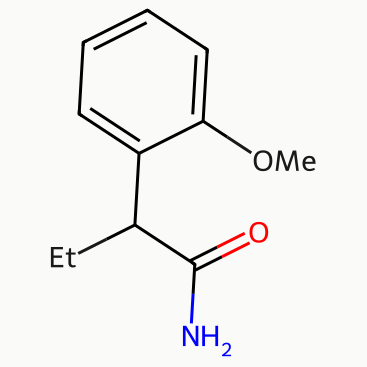 CCC(C(N)=O)c1ccccc1OC